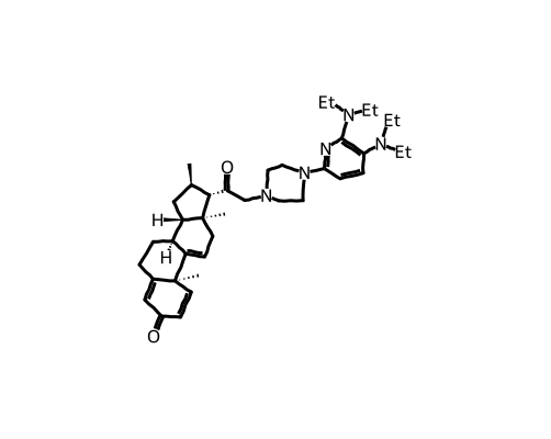 CCN(CC)c1ccc(N2CCN(CC(=O)[C@H]3[C@H](C)C[C@H]4[C@@H]5CCC6=CC(=O)C=C[C@]6(C)C5=CC[C@@]43C)CC2)nc1N(CC)CC